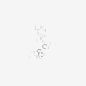 COc1ncc(-c2cc(C(F)(F)F)c3c(N)ncnn23)cc1C(=O)N[C@H]1CN(CC(C)(O)C(F)(F)F)C[C@@H]1F